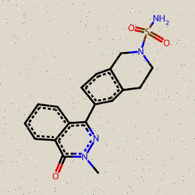 Cn1nc(-c2ccc3c(c2)CCN(S(N)(=O)=O)C3)c2ccccc2c1=O